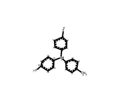 Cc1ccc([SH](c2ccc(F)cc2)c2ccc(F)cc2)cc1